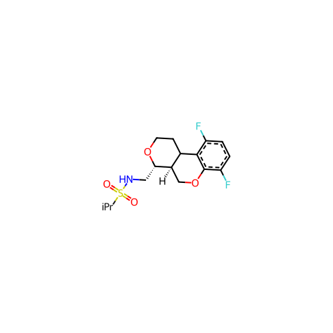 CC(C)S(=O)(=O)NC[C@@H]1OCCC2c3c(F)ccc(F)c3OC[C@H]21